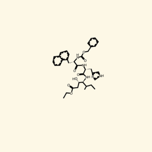 CCOC(=O)C[C@H](O)[C@@H](NC(=O)[C@@H](Cc1c[nH]cn1)NC(=O)[C@H](Cc1cccc2ccccc12)NC(=O)OCc1ccccc1)C(C)CC